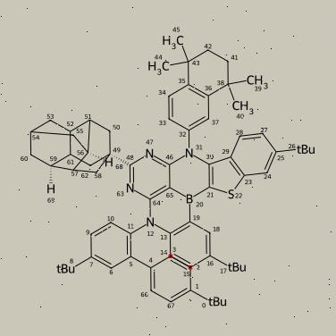 CC(C)(C)c1ccc(-c2cc(C(C)(C)C)ccc2N2c3ccc(C(C)(C)C)cc3B3c4sc5cc(C(C)(C)C)ccc5c4N(c4ccc5c(c4)C(C)(C)CCC5(C)C)c4nc([C@]56CC7C8CC9C[C@@H]7C(C5)[C@@H](C9)C8C6)nc2c43)cc1